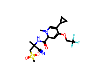 CN1C=C(C2CC2)C(OCC(F)(F)F)=CC1C(=O)NC(C)(C#N)CS(C)(=O)=O